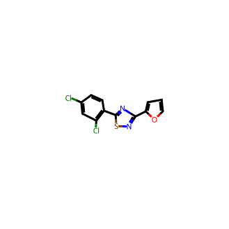 Clc1ccc(-c2nc(-c3ccco3)ns2)c(Cl)c1